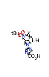 CC(C)(C)OC(=O)N(CC1CCN(c2cnc(C(=O)O)cn2)C1)C1CC1.[LiH]